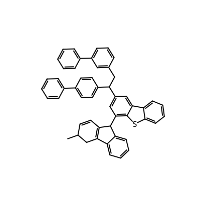 CC1C=CC2=C(C1)c1ccccc1C2c1cc(C(Cc2cccc(-c3ccccc3)c2)c2ccc(-c3ccccc3)cc2)cc2c1sc1ccccc12